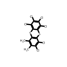 Cc1c(C)c2c(c(Cl)c1Cl)Sc1c(Cl)c(Cl)c(Cl)c(Cl)c1S2